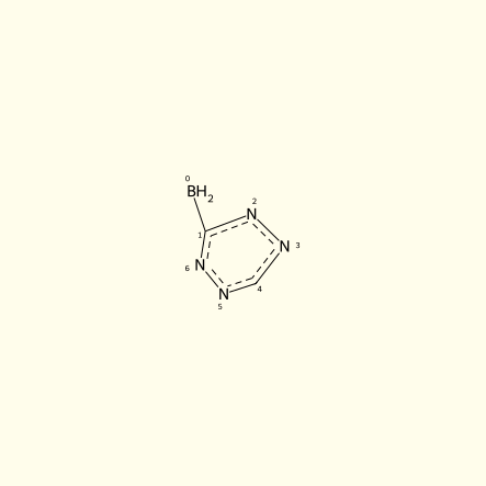 Bc1nncnn1